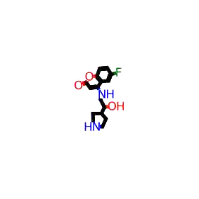 O=c1cc(NCC(O)C2CCNCC2)c2cc(F)ccc2o1